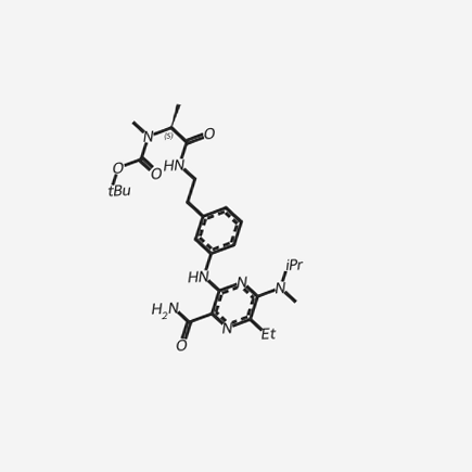 CCc1nc(C(N)=O)c(Nc2cccc(CCNC(=O)[C@H](C)N(C)C(=O)OC(C)(C)C)c2)nc1N(C)C(C)C